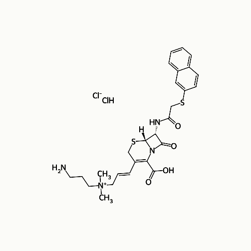 C[N+](C)(CC=CC1=C(C(=O)O)N2C(=O)[C@@H](NC(=O)CSc3ccc4ccccc4c3)[C@H]2SC1)CCCN.Cl.[Cl-]